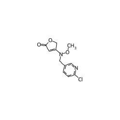 CON(Cc1ccc(Cl)nc1)C1=CC(=O)OC1